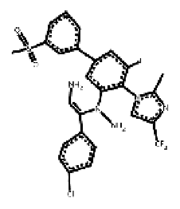 Cc1nc(C(F)(F)F)cn1-c1c(F)cc(-c2cccc(S(C)(=O)=O)c2)cc1N(N)/C(=C\N)c1ccc(Cl)cc1